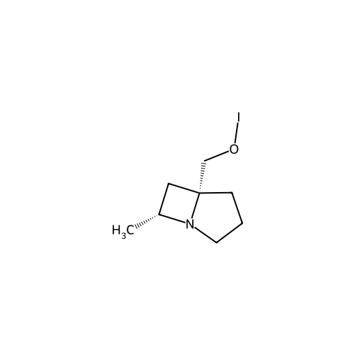 C[C@@H]1C[C@@]2(COI)CCCN12